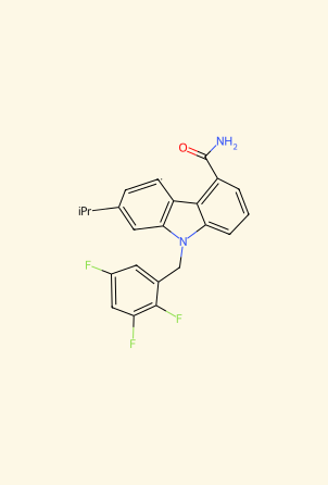 CC(C)c1c[c]c2c3c(C(N)=O)cccc3n(Cc3cc(F)cc(F)c3F)c2c1